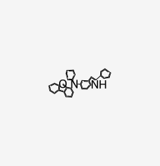 c1ccc(-c2cc3cc(N(c4ccccc4)c4cccc5c4oc4ccccc45)ccc3[nH]2)cc1